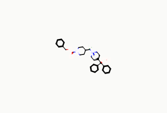 O=C(OCc1ccccc1)N1CCC(C[N+]23CCC(C(O)(c4ccccc4)c4ccccc4)(CC2)CC3)CC1.[Br-]